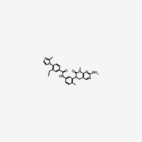 Cc1ccc(NC(=O)c2ccc(-n3ccnc3C)c(CF)c2)cc1N1Cc2cnc(N)nc2N(C)C1=O